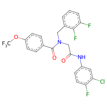 O=C(CN(Cc1cccc(F)c1F)C(=O)c1ccc(OC(F)(F)F)cc1)Nc1ccc(F)c(Cl)c1